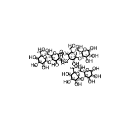 OC[C@H]1O[C@@H](O[C@H]2[C@H](O)[C@@H](O)[C@H](O)O[C@@H]2CO)[C@H](O)[C@@H](O)[C@@H]1O.OC[C@H]1O[C@@H](O[C@H]2[C@H](O)[C@@H](O)[C@H](O)O[C@@H]2CO)[C@H](O)[C@@H](O)[C@H]1O.OC[C@H]1O[C@H](O[C@H]2[C@H](O)[C@@H](O)[C@H](O)O[C@@H]2CO)[C@H](O)[C@@H](O)[C@@H]1O